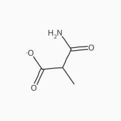 CC(C(N)=O)C([O])=O